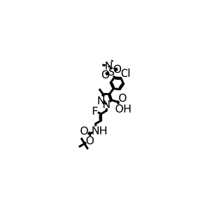 Cc1nn(C/C(F)=C/CNC(=O)OC(C)(C)C)c(C(=O)O)c1-c1ccc(Cl)c(S(=O)(=O)N(C)C)c1